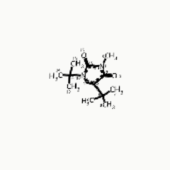 Cn1c(=O)c(C(C)(C)C)cn(C(C)(C)C)c1=O